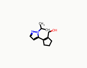 CC(C)n1nccc1C1=C(CO)CCC1